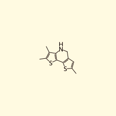 Cc1cc2c(s1)-c1sc(C)c(C)c1NC2